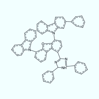 c1ccc(C2=NC(c3ccc(-n4c5ccccc5c5ccc(-c6ccccc6)cc54)c4oc5c(-n6c7ccccc7c7ccccc76)cccc5c34)=NC(c3ccccc3)N2)cc1